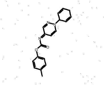 Cc1ccc(OC(=O)N=c2ccn(C3C=CCC=C3)nc2)cc1